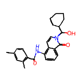 Cc1ccc(C(=O)Nc2cccc3c(=O)n(C(O)C4CCCCC4)ccc23)c(C)c1